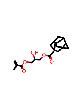 C=C(C)C(=O)OCC(O)COC(=O)C12CC3CC(C1)C1CC1(C3)C2